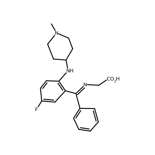 CN1CCC(Nc2ccc(F)cc2C(=NCC(=O)O)c2ccccc2)CC1